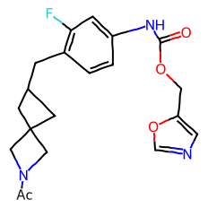 CC(=O)N1CC2(CC(Cc3ccc(NC(=O)OCc4cnco4)cc3F)C2)C1